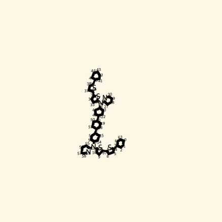 c1ccc(-c2ccc(-c3ccc(N(c4ccc(-c5ccc(-c6ccc(N(c7ccccn7)c7ccc(-c8ccc(-c9ccccc9)s8)s7)cc6)cc5)cc4)c4ccccn4)s3)s2)cc1